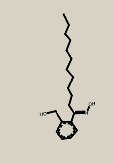 CCCCCCCCCCC/C(=N\O)c1ccccc1CO